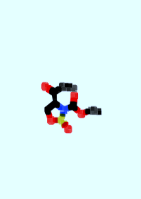 COC(=O)[C@@H]1COS(=O)N1C(=O)OC(C)(C)C